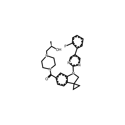 C[C@@H](O)CN1CCN(C(=O)c2ccc3c(c2)N(c2ncc(-c4ccccc4F)cn2)CC32CC2)CC1